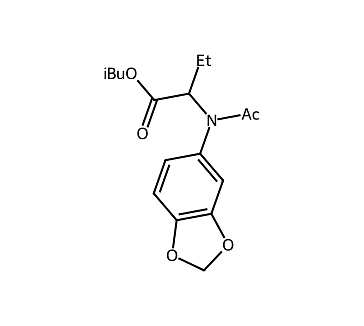 CCC(C(=O)OCC(C)C)N(C(C)=O)c1ccc2c(c1)OCO2